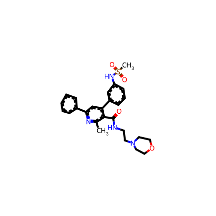 Cc1nc(-c2ccccc2)cc(-c2cccc(NS(C)(=O)=O)c2)c1C(=O)NCCN1CCOCC1